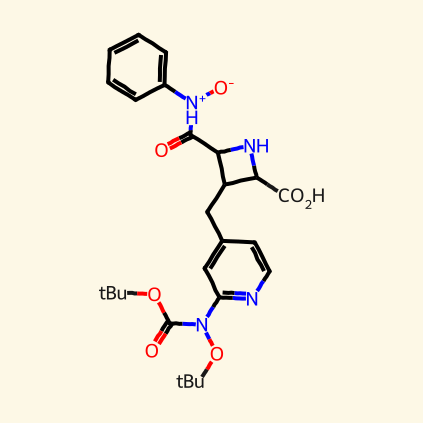 CC(C)(C)OC(=O)N(OC(C)(C)C)c1cc(CC2C(C(=O)O)NC2C(=O)[NH+]([O-])c2ccccc2)ccn1